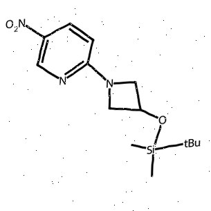 CC(C)(C)[Si](C)(C)OC1CN(c2ccc([N+](=O)[O-])cn2)C1